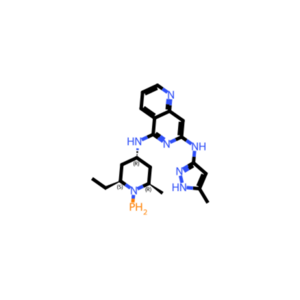 CC[C@H]1C[C@H](Nc2nc(Nc3cc(C)[nH]n3)cc3ncccc23)C[C@@H](C)N1P